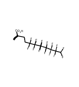 C=C(CCC(F)(F)C(F)(F)C(F)(F)C(F)(F)C(F)(F)C(F)(F)C(F)F)C(=O)O